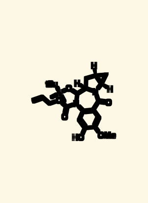 C=CCOC(=O)N1c2cc(O)c(OC)cc2C(=O)N2[C@@H](C[C@@H]3C[C@@H]32)C1O[Si](C)(C)C(C)(C)C